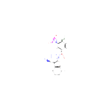 N#Cc1c(NC(=O)c2ccc(Cl)c([N+](=O)[O-])c2)sc2c1CCCC2